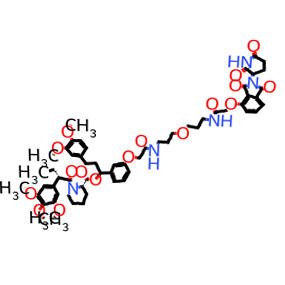 CC[C@H](C(=O)N1CCCC[C@H]1C(=O)OC(CCc1ccc(OC)c(OC)c1)c1cccc(OCC(=O)NCCCOCCCNC(=O)COc2cccc3c2C(=O)N(C2CCC(=O)NC2=O)C3=O)c1)c1cc(OC)c(OC)c(OC)c1